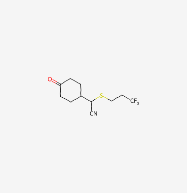 N#CC(SCCC(F)(F)F)C1CCC(=O)CC1